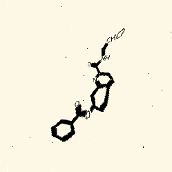 O=CCNC(=O)c1ccc2ccc(OC(=O)c3ccccc3)cc2n1